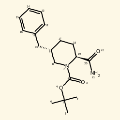 CC(C)(C)OC(=O)N1C[C@H](Cc2ccccc2)CC[C@H]1C(N)=O